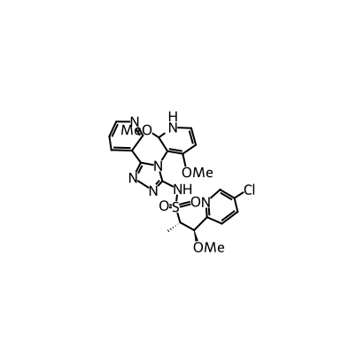 COC1=C(n2c(NS(=O)(=O)[C@@H](C)[C@H](OC)c3ccc(Cl)cn3)nnc2-c2cccnc2)C(OC)NC=C1